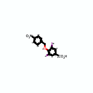 O=C(O)c1cc(I)c(OCc2ccc([N+](=O)[O-])cc2)c(I)c1